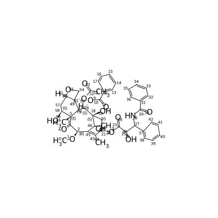 CO[C@H]1C(=O)[C@@]2(C)[C@H]([C@H](OC(=O)c3ccccc3)[C@]3(O)C[C@H](OC(=O)[C@H](O)C(NC(=O)c4ccccc4)c4ccccc4)C(C)=C1C3(C)C)[C@]1(OC(C)=O)CO[C@@H]1C[C@@H]2O